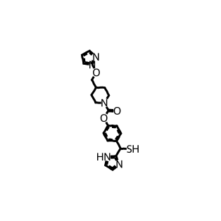 O=C(Oc1ccc(C(S)c2ncc[nH]2)cc1)N1CCC(COn2cccn2)CC1